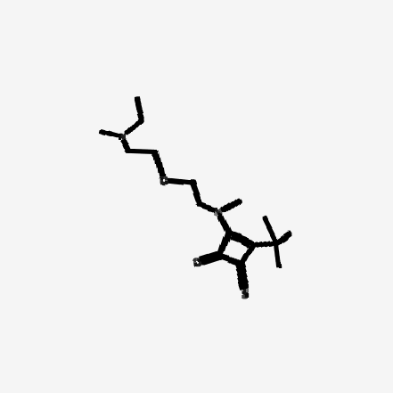 CCN(C)CCOCCN(C)c1c(C(C)(C)C)c(=S)c1=O